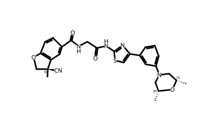 C[C@@H]1CN(c2cccc(-c3csc(NC(=O)CNC(=O)c4ccc5c(c4)[C@@](C)(C#N)CO5)n3)c2)C[C@H](C)O1